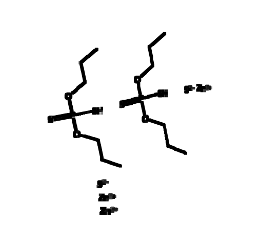 CCCOP(=S)(S)OCCC.CCCOP(=S)(S)OCCC.[S-2].[S-2].[Zn+2].[Zn+2].[Zn+2]